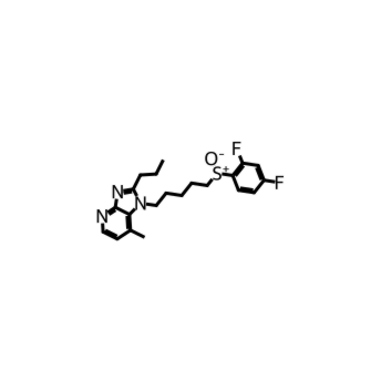 CCCc1nc2nccc(C)c2n1CCCCC[S+]([O-])c1ccc(F)cc1F